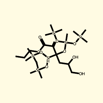 C=C(C(=O)OCCC)C(CC(O)CO)(O[Si](C)(O[Si](C)(C)C)O[Si](C)(C)C)[SiH](O[Si](C)(C)C)O[Si](C)(C)C